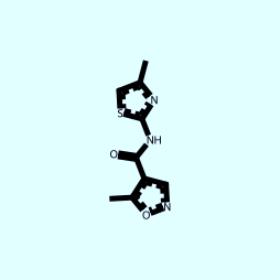 Cc1csc(NC(=O)c2cnoc2C)n1